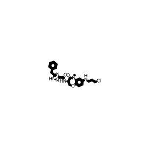 CN1C(=O)[C@H](NC(=O)c2n[nH]c(Cc3ccccc3)n2)COc2ccc(NCCCCl)cc21